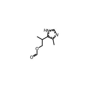 Cc1nc[nH]c1C(C)COC=O